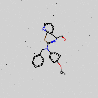 COc1ccc(N(Cc2ccccc2)C2=NC(C=O)c3cccnc3S2)cc1